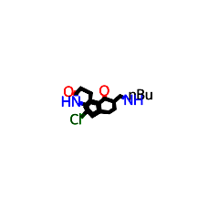 CCCCNCC1CCc2cc(Cl)c3c(c2C1=O)CCC(=O)N3